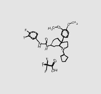 COc1ccc(C23CCC(NC(=O)Nc4ccc(F)c(F)c4)CC2N(C2CCCC2)CC3)cc1OC.O=C(O)C(F)(F)F